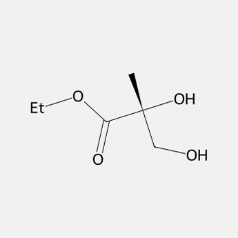 CCOC(=O)[C@](C)(O)CO